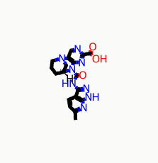 Cc1ccc2c(NC(=O)N3c4nc(C(=O)O)ncc4N4CCC[C@H]3C4)n[nH]c2n1